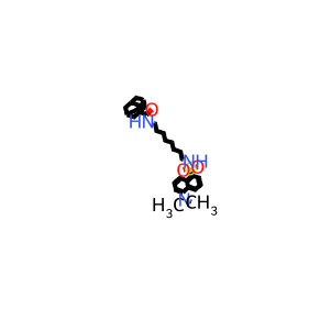 CN(C)c1cccc2c(S(=O)(=O)NCCCCCCCCNC(=O)C34CC5CC(CC(C5)C3)C4)cccc12